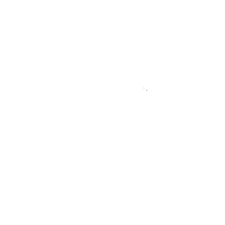 COC(=O)CCc1ccnc(F)c1